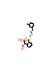 CO/N=C(/C(=O)O)c1ccccc1C(SC)SC=NN=Cc1cccc(C)c1